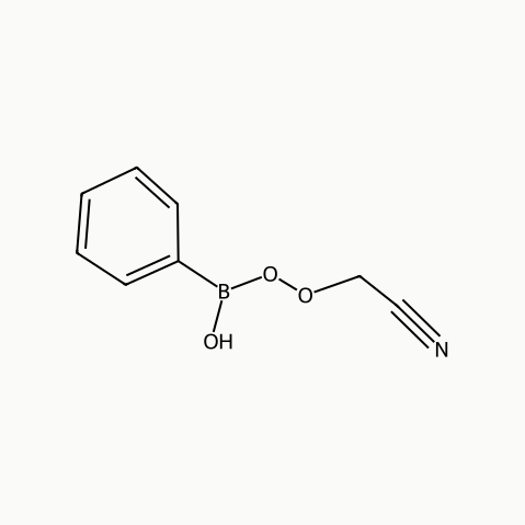 N#CCOOB(O)c1ccccc1